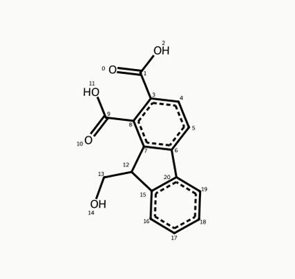 O=C(O)c1ccc2c(c1C(=O)O)C(CO)c1ccccc1-2